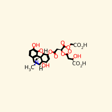 CN1CC[C@]23c4c5ccc(O)c4O[C@H]2C(OC(=O)C[C@H](OC(=O)C[C@H](O)C(=O)O)C(=O)OCC(=O)O)=CC[C@@]3(O)[C@H]1C5